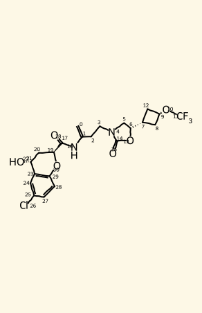 C=C(CCN1CC([C@H]2C[C@@H](OC(F)(F)F)C2)OC1=O)NC(=O)[C@@H]1C[C@@H](O)c2cc(Cl)ccc2O1